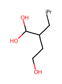 CC(C)CC(CCO)C(O)O